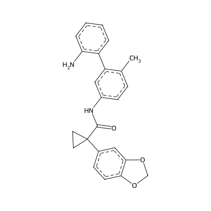 Cc1ccc(NC(=O)C2(c3ccc4c(c3)OCO4)CC2)cc1-c1ccccc1N